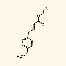 CCOC(=O)C=NCc1ccc(OC)cc1